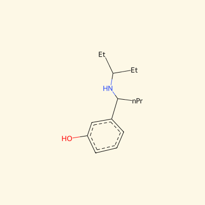 CCCC(NC(CC)CC)c1cccc(O)c1